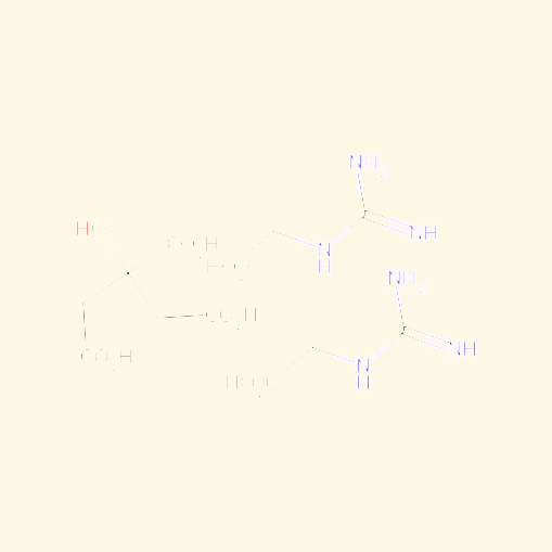 N=C(N)NCC(=O)O.N=C(N)NCC(=O)O.O=C(O)CC(O)(CC(=O)O)C(=O)O